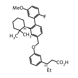 CC[C@@H](CC(=O)O)c1cccc(OCc2ccc(-c3cc(OC)ccc3F)c([C@@H]3CCCCC3(C)C)c2)c1